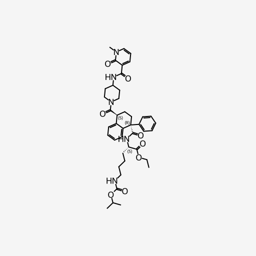 CCOC(=O)[C@H](CCCCNC(=O)OC(C)C)NC(=O)[C@@]1(c2ccccc2)CC[C@H](C(=O)N2CCC(NC(=O)c3cccn(C)c3=O)CC2)c2ccccc21